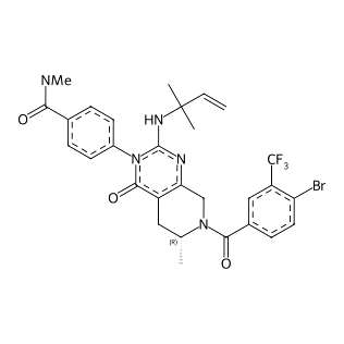 C=CC(C)(C)Nc1nc2c(c(=O)n1-c1ccc(C(=O)NC)cc1)C[C@@H](C)N(C(=O)c1ccc(Br)c(C(F)(F)F)c1)C2